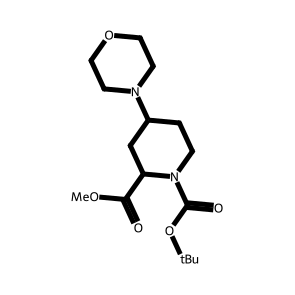 COC(=O)C1CC(N2CCOCC2)CCN1C(=O)OC(C)(C)C